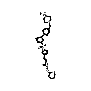 CN1CCN(Cc2ccc(-c3cccc(S(=O)(=O)n4ccc(/C=C/C(=O)NOC5CCCCO5)c4)c3)cc2)CC1